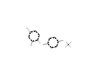 CC(C)(O)Oc1ccc(Oc2ccc(Cl)cc2Cl)cc1